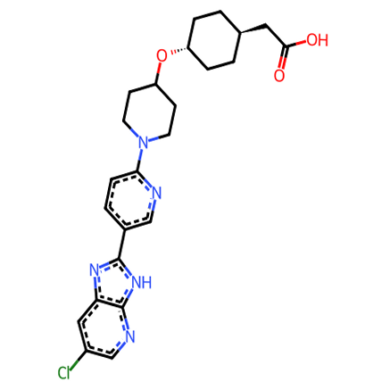 O=C(O)C[C@H]1CC[C@H](OC2CCN(c3ccc(-c4nc5cc(Cl)cnc5[nH]4)cn3)CC2)CC1